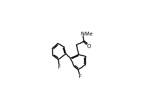 CNC(=O)Cc1ccc(F)cc1-c1ccccc1F